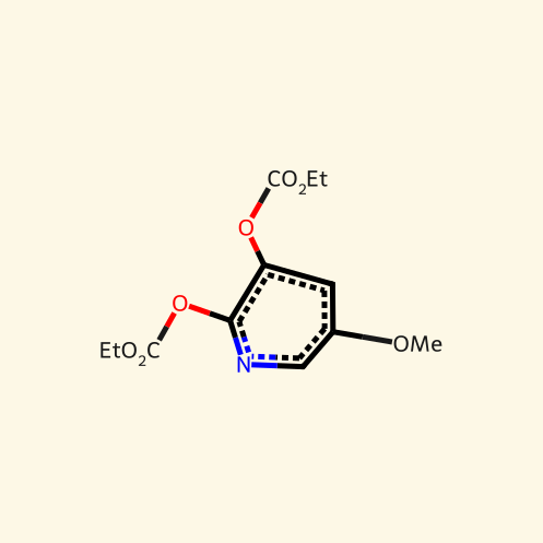 CCOC(=O)Oc1cc(OC)cnc1OC(=O)OCC